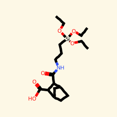 CCO[Si](CCCNC(=O)C1C2CCC(C2)C1C(=O)O)(OCC)OCC